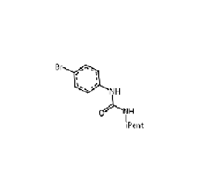 CCCC(C)NC(=O)Nc1ccc(Br)cc1